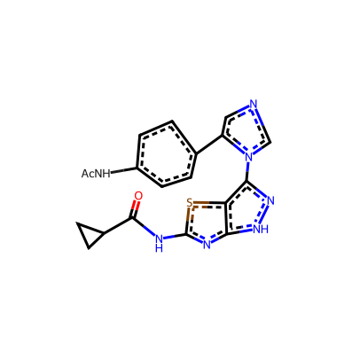 CC(=O)Nc1ccc(-c2cncn2-c2n[nH]c3nc(NC(=O)C4CC4)sc23)cc1